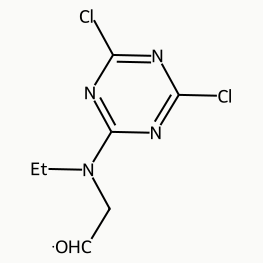 CCN(C[C]=O)c1nc(Cl)nc(Cl)n1